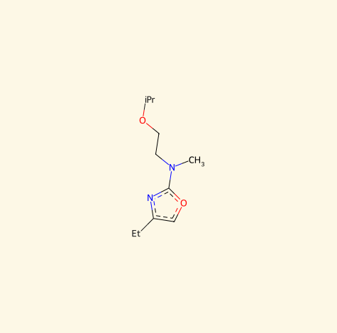 CCc1coc(N(C)CCOC(C)C)n1